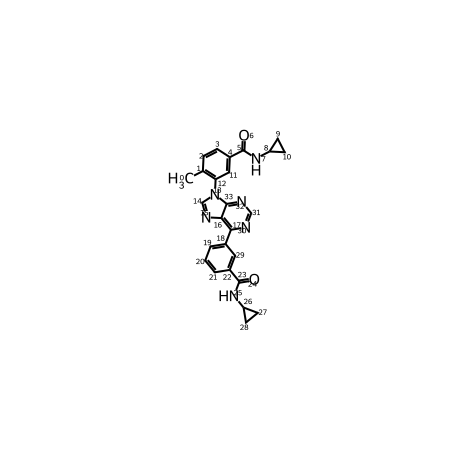 Cc1ccc(C(=O)NC2CC2)cc1-n1cnc2c(-c3cccc(C(=O)NC4CC4)c3)ncnc21